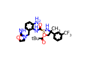 CC(C)(C)C(=O)OCC(C)(NSC(=O)Nc1c(N)cccc1Cn1ccoc1=N)c1cccc(C(F)(F)F)c1